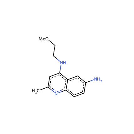 COCCNc1cc(C)nc2ccc(N)cc12